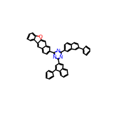 c1ccc(-c2ccc3ccc(-c4nc(-c5ccc6cc7c(cc6c5)oc5ccccc57)nc(-c5cc(-c6ccccc6)c6ccccc6c5)n4)cc3c2)cc1